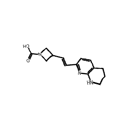 O=C(O)N1CC(/C=C/c2ccc3c(n2)NCCC3)C1